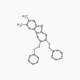 Cc1cc2oc3cc(SCc4ccccc4)c(SCc4ccccc4)cc3c2cc1C